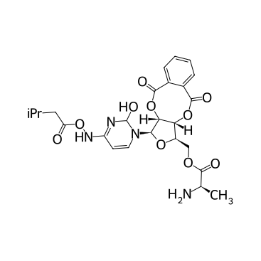 CC(C)CC(=O)ONC1=NC(O)N([C@@H]2O[C@H](COC(=O)[C@@H](C)N)[C@H]3OC(=O)c4ccccc4C(=O)O[C@H]32)C=C1